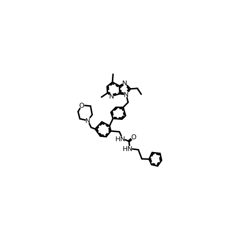 CCc1nc2c(C)cc(C)nc2n1Cc1ccc(-c2cc(CN3CCOCC3)ccc2CNC(=O)NCCc2ccccc2)cc1